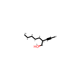 CC#CC(CO)CCCCC